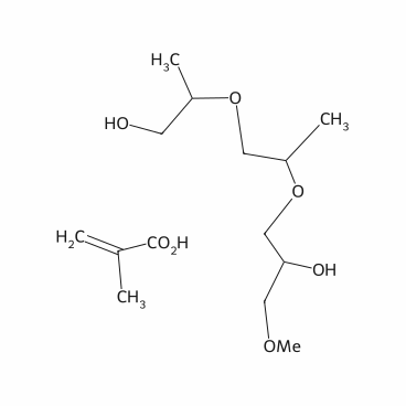 C=C(C)C(=O)O.COCC(O)COC(C)COC(C)CO